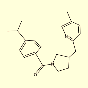 Cc1ccc(CC2CCN(C(=O)c3ccc(C(C)C)cc3)C2)nc1